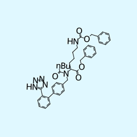 CCCCC(=O)N(Cc1ccc(-c2ccccc2-c2nnn[nH]2)cc1)C(CCCCNC(=O)OCc1ccccc1)C(=O)OCc1ccccc1